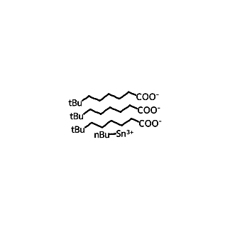 CC(C)(C)CCCCCC(=O)[O-].CC(C)(C)CCCCCC(=O)[O-].CC(C)(C)CCCCCC(=O)[O-].CCC[CH2][Sn+3]